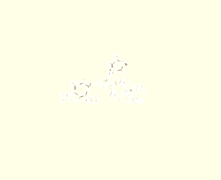 CC1(C)COC(CCc2ccc(Cl)cc2Cl)(Cn2ccnc2)OC1